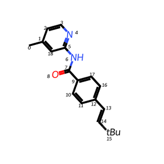 Cc1ccnc(NC(=O)c2ccc(/C=C/C(C)(C)C)cc2)c1